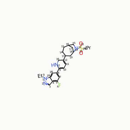 CCn1ncc2c(F)cc(C3=CC=C(C4CCC5CC(C4)N(S(=O)(=O)C(C)C)C5)CN3)cc21